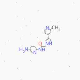 Cc1cc(-c2cnn(CC(=O)Nc3ccc(N)cn3)c2)ccn1